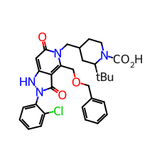 CC(C)(C)C1CC(Cn2c(COCc3ccccc3)c3c(=O)n(-c4ccccc4Cl)[nH]c3cc2=O)CCN1C(=O)O